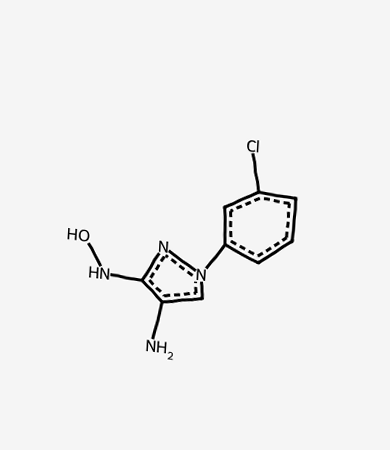 Nc1cn(-c2cccc(Cl)c2)nc1NO